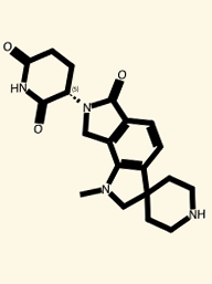 CN1CC2(CCNCC2)c2ccc3c(c21)CN([C@H]1CCC(=O)NC1=O)C3=O